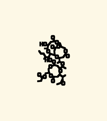 CC=CC(C)C(O)C1OC(C)C(O)CC(=O)OCC2COC(=O)CC(C(C)OC(C)C3CC(=O)OCC(COC(=O)CC)OC(=O)CC(C(C)C4OC4C)O3)OC1CC(=O)O2